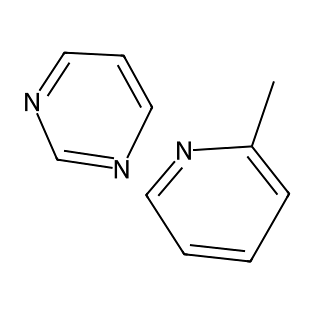 Cc1ccccn1.c1cncnc1